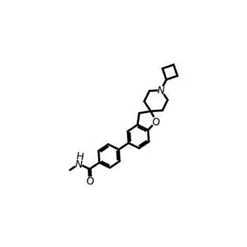 CNC(=O)c1ccc(-c2ccc3c(c2)CC2(CCN(C4CCC4)CC2)O3)cc1